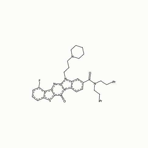 CC(C)CCN(CCC(C)C)C(=O)c1ccc2c(c1)n(CCCN1CCCCC1)c1nc3c(sc4cccc(F)c43)c(=O)n21